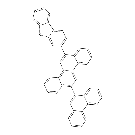 c1ccc2c(c1)cc(-c1cc3c4ccccc4c(-c4ccc5c(c4)sc4ccccc45)cc3c3ccccc13)c1ccccc12